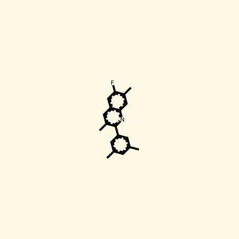 Cc1cc(C)cc(-c2nc3cc(C)c(F)cc3cc2C)c1